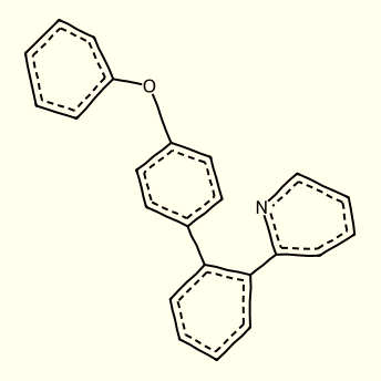 c1ccc(Oc2ccc(-c3ccccc3-c3ccccn3)cc2)cc1